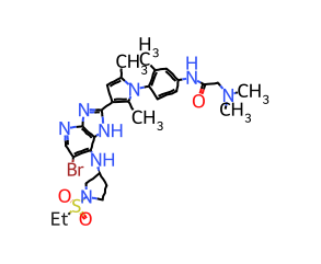 CCS(=O)(=O)N1CC[C@H](Nc2c(Br)cnc3nc(-c4cc(C)n(-c5ccc(NC(=O)CN(C)C)cc5C)c4C)[nH]c23)C1